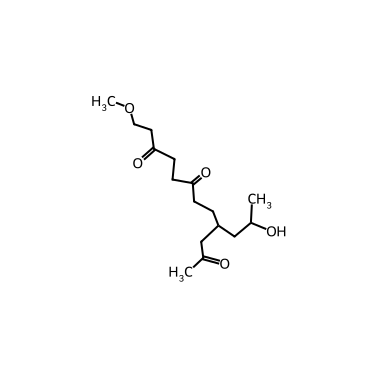 COCCC(=O)CCC(=O)CCC(CC(C)=O)CC(C)O